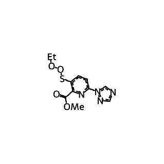 CCOOSc1ccc(-n2cncn2)nc1C(=O)OC